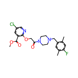 COC(=O)c1cc(Cl)cnc1OCC(=O)N1CCN(Cc2cc(C)c(F)cc2C)CC1